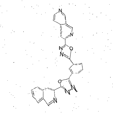 c1cc(-c2nnc(-c3cc4ccccc4cn3)o2)cc(-c2nnc(-c3cc4ccncc4cn3)o2)c1